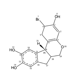 OC1=CC2=C(CC1Br)[C@H]1c3cc(O)c(O)cc3CC1CO2